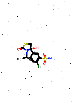 CC(C)N1C(=O)SCC1(O)c1ccc(Cl)c(S(N)(=O)=O)c1